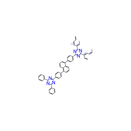 C=C/C=C\C(=C/C)c1nc(/C(C=C)=C/C=C\C)nc(-c2ccc(-c3cccc4c(-c5ccc(-c6nc(-c7ccccc7)nc(-c7ccccc7)n6)cc5)cccc34)cc2)n1